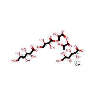 CC(O)C(=O)[O-].CC(O)C(=O)[O-].O=C(O)[C@@H](O)[C@H](O)CO.O=C([O-])[C@H](O)[C@@H](O)[C@H](O)[C@H](O)CO.O=C([O-])[C@H](O)[C@@H](O)[C@H](O)[C@H](O)CO.[Ca+2].[Ca+2]